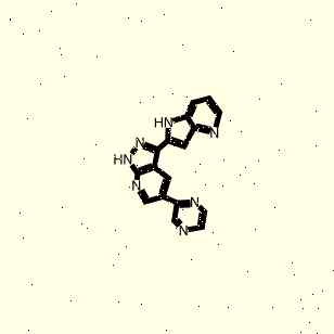 c1cnc2cc(-c3n[nH]c4ncc(-c5cnccn5)cc34)[nH]c2c1